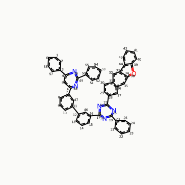 c1ccc(-c2cc(-c3cccc(-c4cccc(-c5nc(-c6ccccc6)nc(-c6ccc7cc8c(cc7c6)oc6ccccc68)n5)c4)c3)nc(-c3ccccc3)n2)cc1